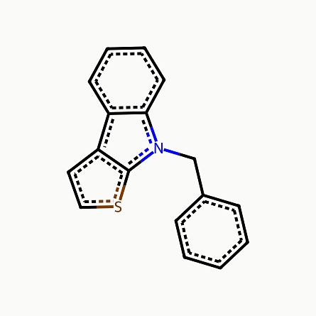 c1ccc(Cn2c3ccccc3c3ccsc32)cc1